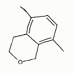 Cc1ccc(C)c2c1CCOC2